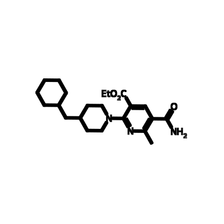 CCOC(=O)c1cc(C(N)=O)c(C)nc1N1CCC(CC2CCCCC2)CC1